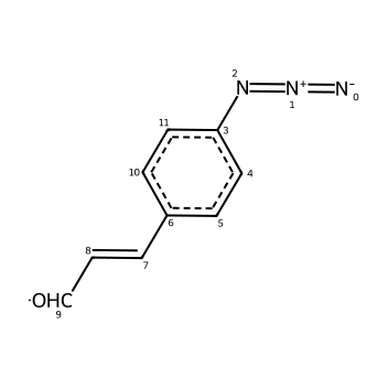 [N-]=[N+]=Nc1ccc(/C=C/[C]=O)cc1